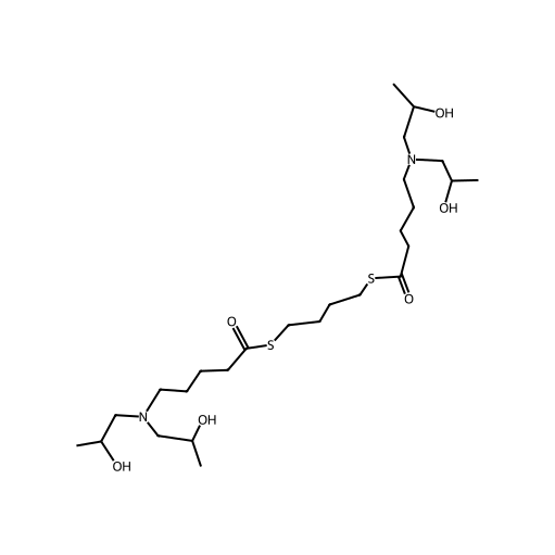 CC(O)CN(CCCCC(=O)SCCCCSC(=O)CCCCN(CC(C)O)CC(C)O)CC(C)O